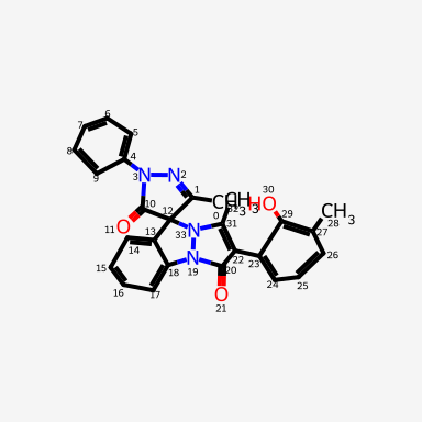 CC1=NN(c2ccccc2)C(=O)C12c1ccccc1-n1c(=O)c(-c3cccc(C)c3O)c(C)n12